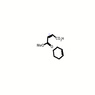 C1=CCCCC1.COC(=O)/C=C\C(=O)O